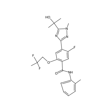 Cc1ccccc1NC(=O)c1cc(F)c(-c2nc(C(C)(C)O)n(C)n2)cc1OCC(C)(F)F